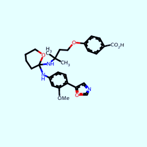 COc1cc(NC2(NC(C)(C)CCOc3ccc(C(=O)O)cc3)CCCCO2)ccc1-c1cnco1